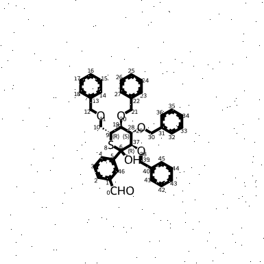 O=Cc1cccc(C2(O)S[C@H](COCc3ccccc3)[C@@H](OCc3ccccc3)[C@H](OCc3ccccc3)[C@H]2OCc2ccccc2)c1